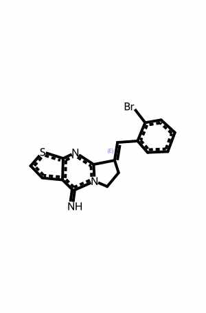 N=c1c2ccsc2nc2n1CC/C2=C\c1ccccc1Br